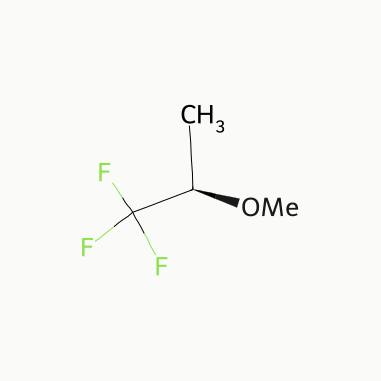 [CH2]O[C@H](C)C(F)(F)F